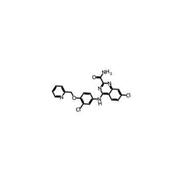 NC(=O)c1nc(Nc2ccc(OCc3ccccn3)c(Cl)c2)c2c[c]c(Cl)cc2n1